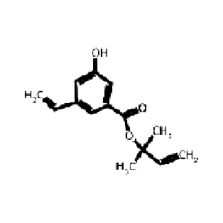 C=Cc1cc(O)cc(C(=O)OC(C)(C)C=C)c1